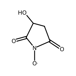 [O]N1C(=O)CC(O)C1=O